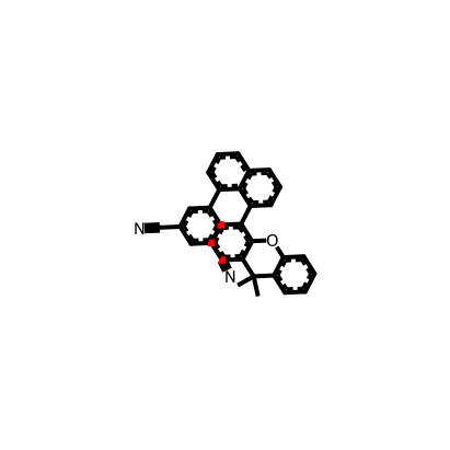 CC1(C)c2ccccc2Oc2c(-c3cccc4cccc(-c5cc(C#N)cc(C#N)c5)c34)cccc21